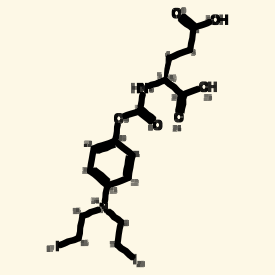 O=C(O)CC[C@H](NC(=O)Oc1ccc(N(CCI)CCI)cc1)C(=O)O